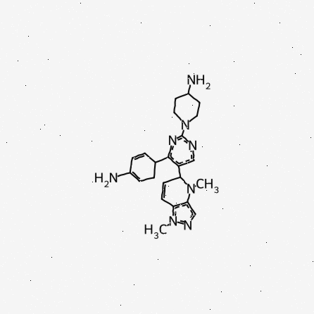 CN1c2cnn(C)c2C=CC1c1cnc(N2CCC(N)CC2)nc1C1C=CC(N)=CC1